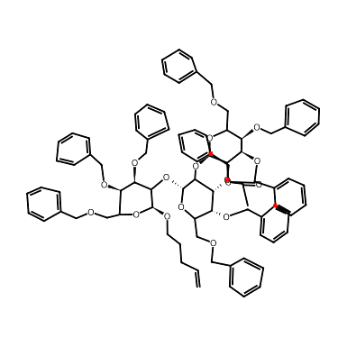 C=CCCCO[C@H]1OC(COCc2ccccc2)[C@@H](OCc2ccccc2)[C@@H](OCc2ccccc2)C1O[C@H]1OC(COCc2ccccc2)[C@@H](OCc2ccccc2)[C@@H](OCc2ccccc2)C1O[C@H]1OC(COCc2ccccc2)[C@@H](OCc2ccccc2)[C@@H](OCc2ccccc2)C1OC(C)=O